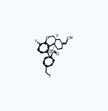 N#C/C=C1/CC[C@@]2(S(=O)(=O)c3ccc(CF)cc3)c3c(F)ccc(F)c3OC[C@H]2C1